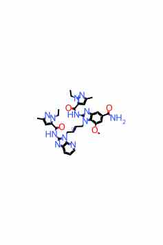 CCn1nc(C)cc1C(=O)Nc1nc2cccnc2n1C/C=C/Cn1c(NC(=O)c2cc(C)nn2CC)nc2cc(C(N)=O)cc(OC)c21